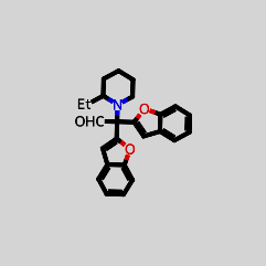 CCC1CCCCN1C(C=O)(c1cc2ccccc2o1)c1cc2ccccc2o1